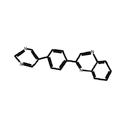 c1ccc2nc(-c3ccc(-c4cncnc4)cc3)cnc2c1